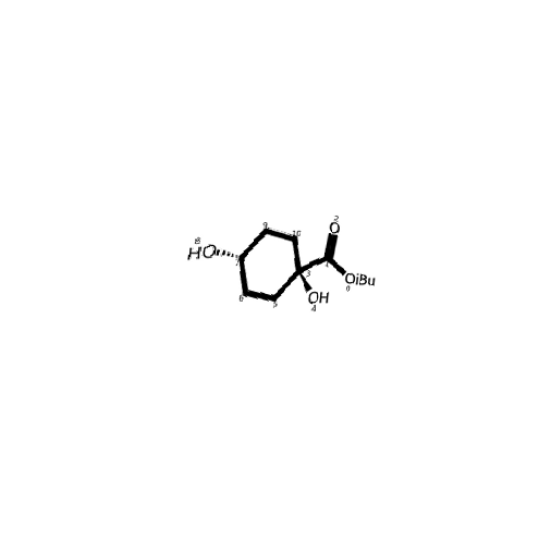 CC(C)COC(=O)[C@]1(O)CC[C@H](O)CC1